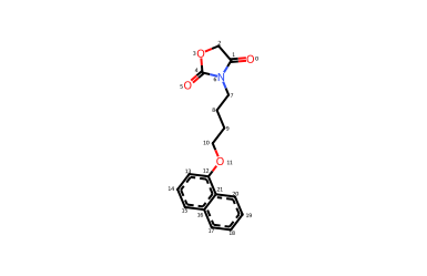 O=C1COC(=O)N1CCCCOc1cccc2ccccc12